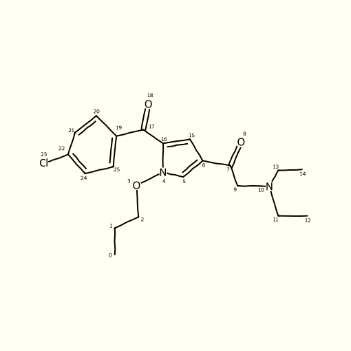 CCCOn1cc(C(=O)CN(CC)CC)cc1C(=O)c1ccc(Cl)cc1